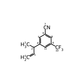 C=C[C](C)c1cc(C#N)cc(C(F)(F)F)c1